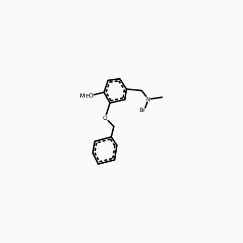 COc1ccc(CN(C)Br)cc1OCc1ccccc1